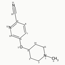 CN1CCC(Oc2ccc(C#N)nc2)CC1